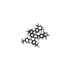 CC1CC(C(C)(C)C)=CC=C1N1c2ccc(C(C)(C)C)cc2B2c3oc4cc5c(cc4c3N(c3cc4c(cc3-c3ccccc3)C(C)(C)CCC4(C)C)c3cc(C(C)(C)C)cc1c32)C1(C)CCC5(C)C1